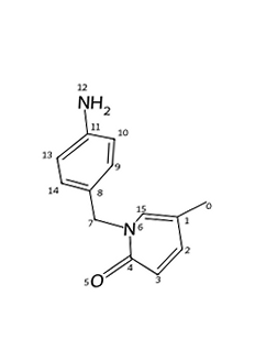 Cc1ccc(=O)n(Cc2ccc(N)cc2)c1